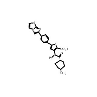 CC(C)N(c1cc(-c2ccc(-c3cn4ccsc4n3)cc2)sc1C(=O)O)C(=O)[C@H]1CC[C@H](C)CC1